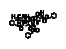 C[C@H](N)C(=O)N[C@H](CCC(=O)N[C@H](CSC[C@H](NC(=O)OCc1ccccc1)C(=O)OCc1ccccc1)C(=O)OCc1ccccc1)C(=O)OCc1ccccc1